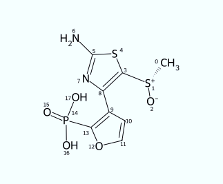 C[S@+]([O-])c1sc(N)nc1-c1ccoc1P(=O)(O)O